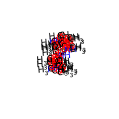 COCC1=CC(NC2C(C)OC(OC3C(COC)OC(OC4C(COC)OC(NC(=O)CSCC(=O)NC5OC(COC)C(OC6OC(COC)C(OC7OC(C)C(NC8C=C(COC)C(OC)C(OC)C8OC)C(OC)C7OC)C(OC)C6OC)C(OC)C5OC)C(OC)C4OC)C(OC)C3OC)C(OC)C2OC)C(OC)C(OC)C1OC